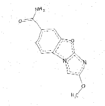 COc1cn2c(n1)oc1cc(C(N)=O)ccc12